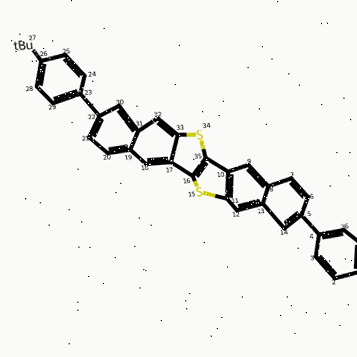 CC(C)(C)c1ccc(-c2ccc3cc4c(cc3c2)sc2c3cc5ccc(-c6ccc(C(C)(C)C)cc6)cc5cc3sc42)cc1